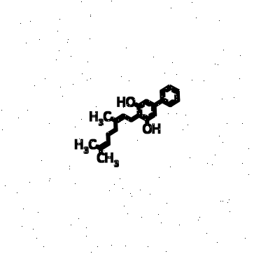 CC(C)=CCCC(C)=CCc1c(O)cc(-c2ccccc2)cc1O